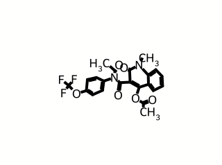 CC(=O)Oc1c(C(=O)N(C(C)=O)c2ccc(OC(F)(F)F)cc2)c(=O)n(C)c2ccccc12